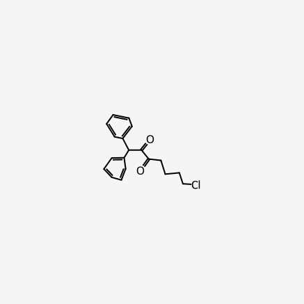 O=C(CCCCCl)C(=O)C(c1ccccc1)c1ccccc1